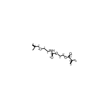 C=C(C)COCCNC(=O)OCCOC(=O)C(=C)C